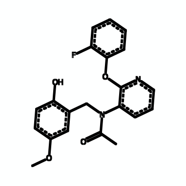 COc1ccc(O)c(CN(C(C)=O)c2cccnc2Oc2ccccc2F)c1